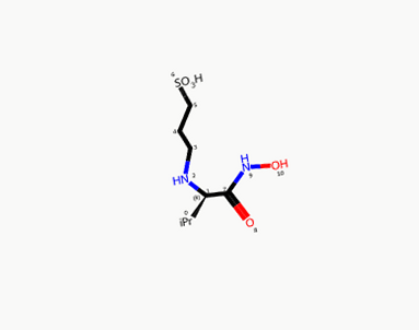 CC(C)[C@@H](NCCCS(=O)(=O)O)C(=O)NO